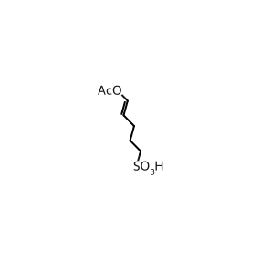 CC(=O)OC=CCCCS(=O)(=O)O